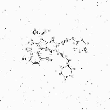 Cc1ccc(O)c(C)c1-n1c(N)c(C(N)=O)c2c1=NC(C#CCN1CCOCC1)C(C#CCN1CCOCC1)N=2